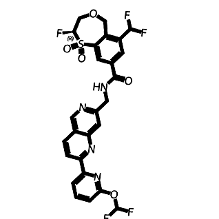 O=C(NCc1cc2nc(-c3cccc(OC(F)F)n3)ccc2cn1)c1cc(C(F)F)c2c(c1)S(=O)(=O)[C@@H](F)COC2